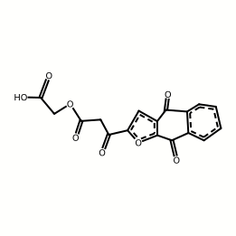 O=C(O)COC(=O)CC(=O)c1cc2c(o1)C(=O)c1ccccc1C2=O